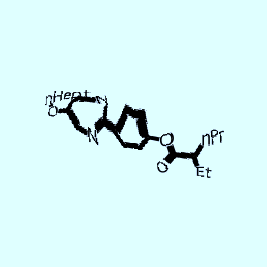 CCCCCCCOc1cnc(-c2ccc(OC(=O)C(CC)CCC)cc2)nc1